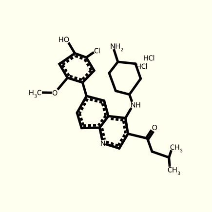 COc1cc(O)c(Cl)cc1-c1ccc2ncc(C(=O)CC(C)C)c(NC3CCC(N)CC3)c2c1.Cl.Cl